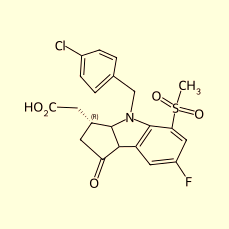 CS(=O)(=O)c1cc(F)cc2c1N(Cc1ccc(Cl)cc1)C1C2C(=O)C[C@@H]1CC(=O)O